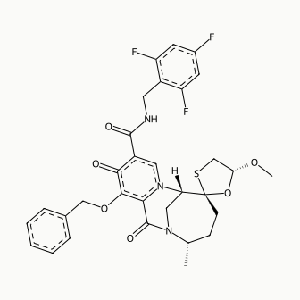 CO[C@H]1CS[C@]2(CC[C@H](C)N3C[C@@H]2n2cc(C(=O)NCc4c(F)cc(F)cc4F)c(=O)c(OCc4ccccc4)c2C3=O)O1